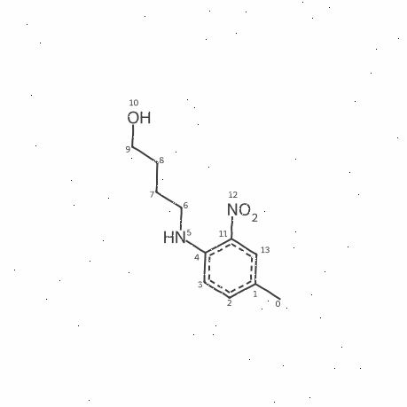 Cc1ccc(NCCCCO)c([N+](=O)[O-])c1